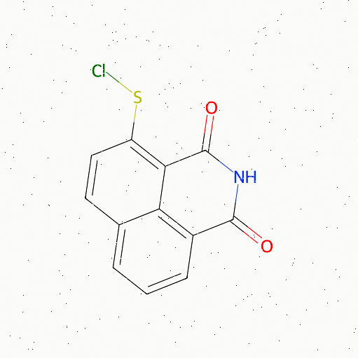 O=C1NC(=O)c2c(SCl)ccc3cccc1c23